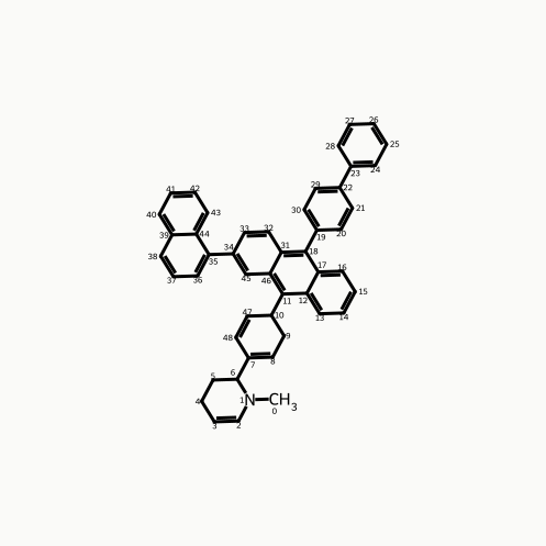 CN1C=CCCC1C1=CCC(c2c3ccccc3c(-c3ccc(-c4ccccc4)cc3)c3ccc(-c4cccc5ccccc45)cc23)C=C1